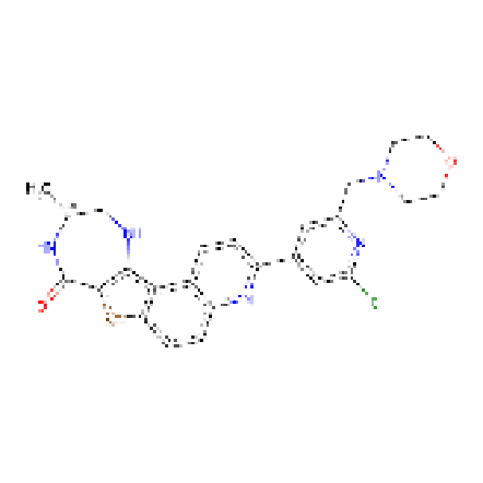 C[C@@H]1CNc2c(sc3ccc4nc(-c5cc(Cl)nc(CN6CCOCC6)c5)ccc4c23)C(=O)N1